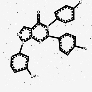 CC(=O)Oc1cccc(-n2ncc3c(=O)n(-c4ccc(Cl)cc4)c(-c4ccc(Br)cc4)nc32)c1